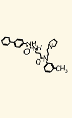 Cc1cccc(N(CCN2CCCC2)C(=O)CCNC(=O)Nc2ccc(-c3ccccc3)cc2)c1